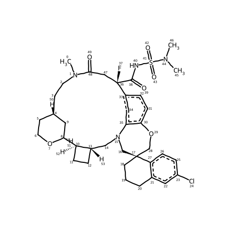 CN1CC[C@H]2CCO[C@@H](C2)[C@@H]2CC[C@H]2CN2C[C@@]3(CCCc4cc(Cl)ccc43)COc3ccc(cc32)[C@@](F)(C(=O)NS(=O)(=O)N(C)C)CC1=O